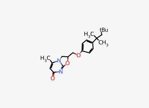 Cc1cc(=O)nc2n1CC(COc1ccc(C(C)(C)CC(C)(C)C)cc1)O2